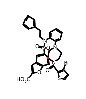 O=C(O)c1cc2cc(S(=O)(=O)N(CCc3ccccc3)c3ccccc3N3CCN(C(=O)c4sccc4Br)CC3)ccc2o1